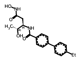 CCc1ccc(-c2ccc(C(=O)N[C@H](CC(=O)NO)[C@@H](C)O)cc2)cc1